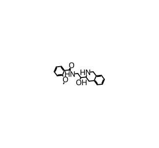 COc1ccccc1C(=O)NCC(O)C1Cc2ccccc2CN1